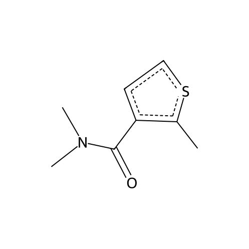 Cc1sccc1C(=O)N(C)C